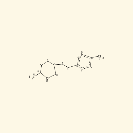 Cc1ccc(CCC2CCC(C)OC2)cn1